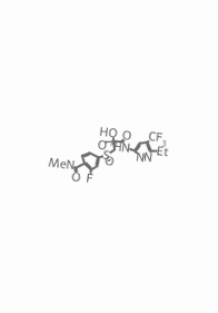 CCc1nnc(NC(=O)[C@@](C)(O)CS(=O)(=O)c2ccc(C(=O)NC)c(F)c2)cc1C(F)(F)F